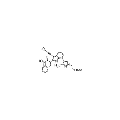 COCCn1cc(-c2cccc3c(C#CC4CC4)n(C(Cc4ccccc4)C(=O)NO)nc23)c(C)n1